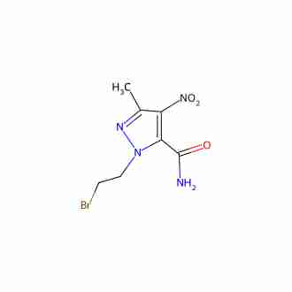 Cc1nn(CCBr)c(C(N)=O)c1[N+](=O)[O-]